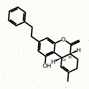 C=C1Oc2cc(CCc3ccccc3)cc(O)c2[C@H]2C=C(C)CC[C@@H]12